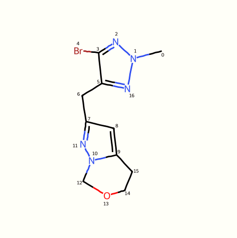 Cn1nc(Br)c(Cc2cc3n(n2)COCC3)n1